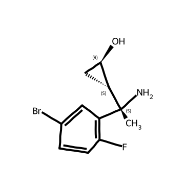 C[C@@](N)(c1cc(Br)ccc1F)[C@@H]1C[C@H]1O